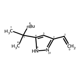 C=Cc1cc(C(C)(C)CCCC)[nH]n1